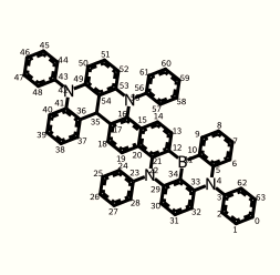 c1ccc(N2c3ccccc3B3c4ccc5c6c(ccc5c4N(c4ccccc4)c4cccc2c43)C2c3ccccc3N(c3ccccc3)c3cccc(c32)N6c2ccccc2)cc1